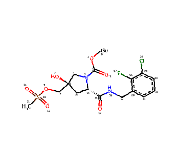 CC(C)(C)OC(=O)N1C[C@@](O)(COS(C)(=O)=O)C[C@H]1C(=O)NCc1cccc(Cl)c1F